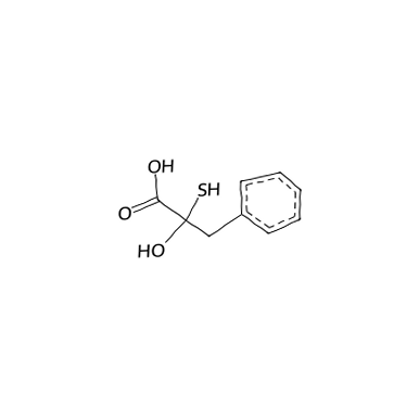 O=C(O)C(O)(S)Cc1ccccc1